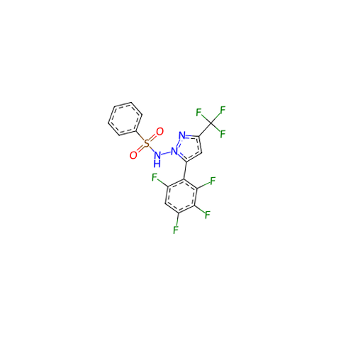 O=S(=O)(Nn1nc(C(F)(F)F)cc1-c1c(F)cc(F)c(F)c1F)c1ccccc1